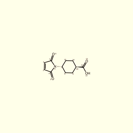 O=C1C=CC(=O)N1[C@H]1CC[C@H](C(=O)O)CC1